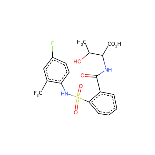 CC(O)C(NC(=O)c1ccccc1S(=O)(=O)Nc1ccc(F)cc1C(F)(F)F)C(=O)O